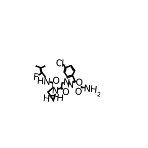 CC(C)=C(F)CNC(=O)[C@@H]1C[C@H]2C[C@H]2N1C(=O)Cn1nc(OC(N)=O)c2ccc(Cl)cc21